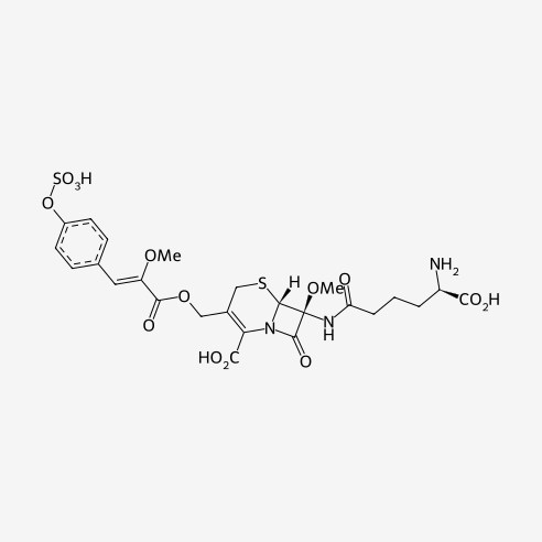 CO/C(=C\c1ccc(OS(=O)(=O)O)cc1)C(=O)OCC1=C(C(=O)O)N2C(=O)[C@](NC(=O)CCC[C@@H](N)C(=O)O)(OC)[C@H]2SC1